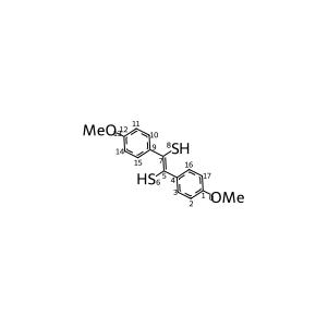 COc1ccc(C(S)=C(S)c2ccc(OC)cc2)cc1